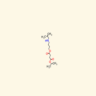 C=C(C)CNCCCCOC(=O)CCC(=O)OC(C)C